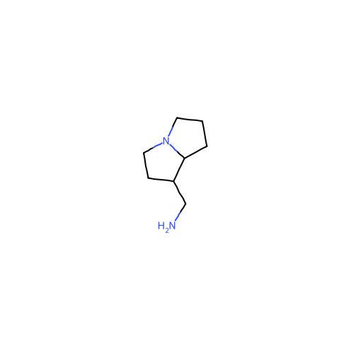 NCC1CCN2CCCC12